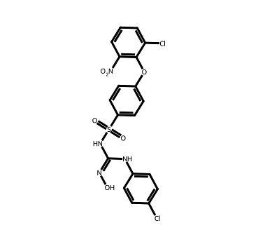 O=[N+]([O-])c1cccc(Cl)c1Oc1ccc(S(=O)(=O)NC(=NO)Nc2ccc(Cl)cc2)cc1